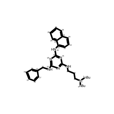 CCCCN(CCCC)CCCNc1nc(NCc2ccccc2)nc(Nc2cccc3ccccc23)n1